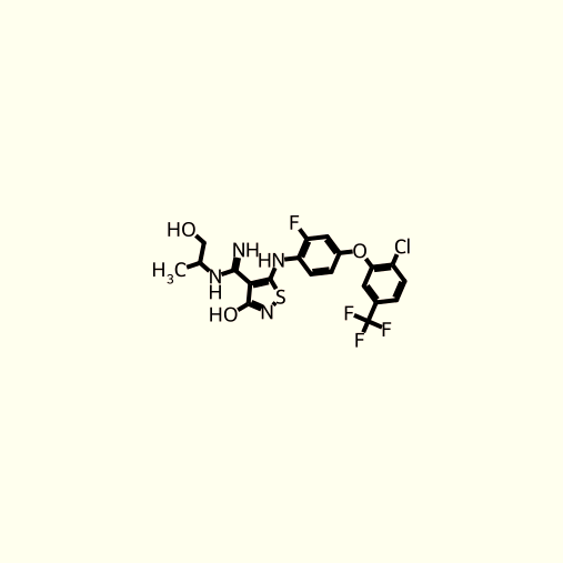 CC(CO)NC(=N)c1c(O)nsc1Nc1ccc(Oc2cc(C(F)(F)F)ccc2Cl)cc1F